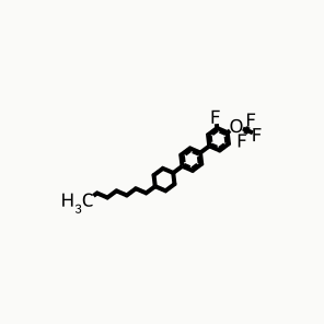 CCCCCCCC1CCC(c2ccc(-c3ccc(OC(F)(F)F)c(F)c3)cc2)CC1